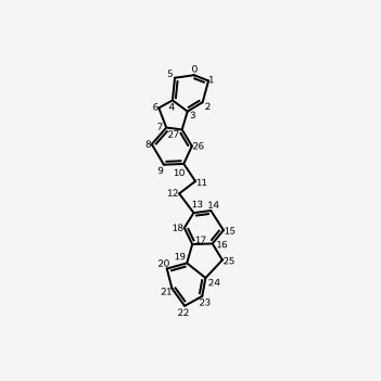 c1ccc2c(c1)Cc1ccc(CCc3ccc4c(c3)-c3ccccc3C4)cc1-2